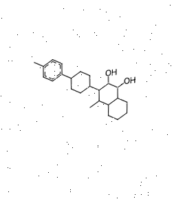 Cc1ccc(C2CCC(C3C(C)C4CCCCC4C(O)C3O)CC2)cc1